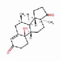 C[C@@H]1CC2=CC(=O)CCC2(O)[C@H]2CC[C@]3(C)C(=O)CC[C@H]3[C@H]12